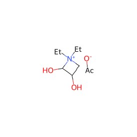 CC(=O)[O-].CC[N+]1(CC)CC(O)C1O